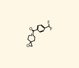 O=C(c1ccc(C(F)F)cc1)N1CCC2(CC1)CO2